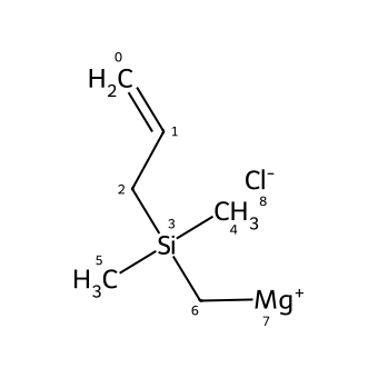 C=CC[Si](C)(C)[CH2][Mg+].[Cl-]